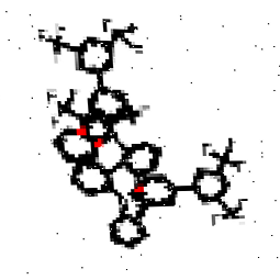 N#Cc1cccc(-n2c3ccccc3c3cc(-c4cc(C(F)(F)F)cc(C(F)(F)F)c4)ccc32)c1-c1c(-c2cc(C(F)(F)F)cc(C(F)(F)F)c2)cccc1-n1c2ccccc2c2cc(-c3cc(C(F)(F)F)cc(C(F)(F)F)c3)ccc21